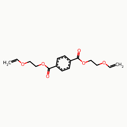 C=COCCOC(=O)c1ccc(C(=O)OCCOC=C)cc1